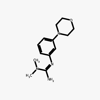 CN(C)C(N)=Nc1cccc(N2CCOCC2)c1